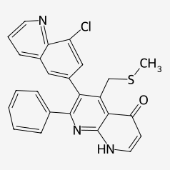 CSCc1c(-c2cc(Cl)c3ncccc3c2)c(-c2ccccc2)nc2[nH]ccc(=O)c12